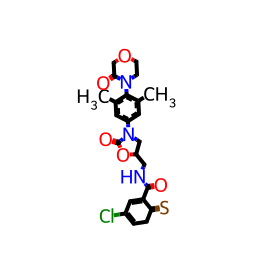 Cc1cc(N2CC(CNC(=O)C3=CC(Cl)=CCC3=S)OC2=O)cc(C)c1N1CCOCC1=O